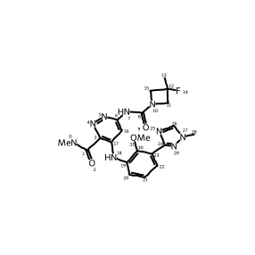 CNC(=O)c1nnc(NC(=O)N2CC(C)(F)C2)cc1Nc1cccc(-c2ncn(C)n2)c1OC